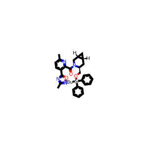 Cc1ccc(-c2nc(C)no2)c(C(=O)N2C[C@@H]3C[C@@H]3C[C@H]2CO[Si](c2ccccc2)(c2ccccc2)C(C)(C)C)n1